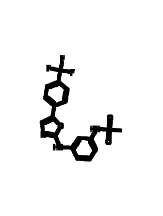 CS(=O)(=O)Nc1cccc(Nc2ncc(-c3ccc(C(F)(F)F)cc3)o2)c1